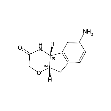 Nc1ccc2c(c1)[C@H]1NC(=O)CO[C@H]1C2